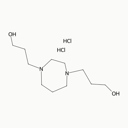 Cl.Cl.OCCCN1CCCN(CCCO)CC1